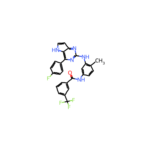 Cc1ccc(NC(=O)c2cccc(C(F)(F)F)c2)cc1Nc1nc(-c2ccc(F)cc2)c2[nH]ccc2n1